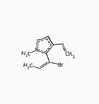 C=Cc1ccn(C)c1/C(Br)=C\C